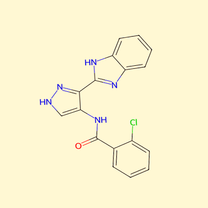 O=C(Nc1c[nH]nc1-c1nc2ccccc2[nH]1)c1ccccc1Cl